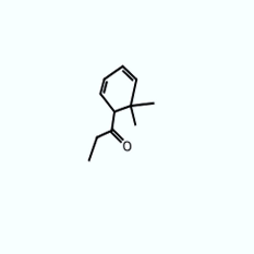 CCC(=O)C1C=CC=CC1(C)C